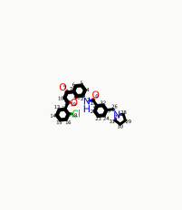 O=C(Nc1cccc2c(=O)cc(-c3ccccc3Cl)oc12)c1cccc(CN2CCCC2)c1